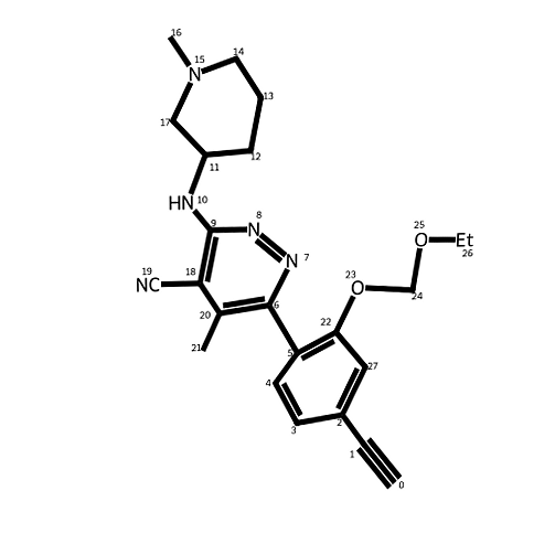 C#Cc1ccc(-c2nnc(NC3CCCN(C)C3)c(C#N)c2C)c(OCOCC)c1